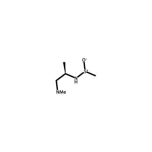 CNC[C@@H](C)N[S+](C)[O-]